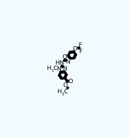 CCOC(=O)c1ccc2c(c1)nc(Nc1nc3ccc(OC(F)F)cc3o1)n2C